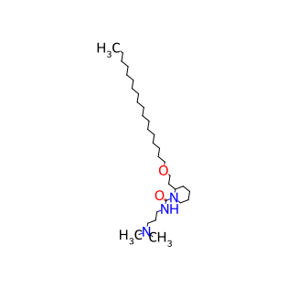 CCCCCCCCCCCCCCCCCCOCCC1CCCCN1C(=O)NCCCN(C)C